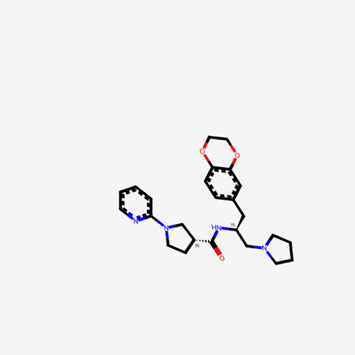 O=C(N[C@@H](Cc1ccc2c(c1)OCCO2)CN1CCCC1)[C@@H]1CCN(c2ccccn2)C1